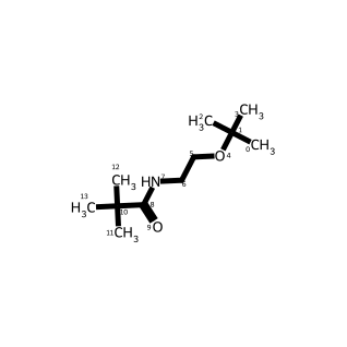 CC(C)(C)OCCNC(=O)C(C)(C)C